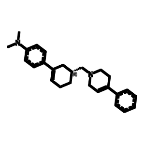 CN(C)c1ccc(C2=CCC[C@@H](CN3CC=C(c4ccccc4)CC3)C2)cc1